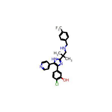 CC(C)(CNCc1ccc(C(F)(F)F)cc1)c1nc(-c2ccc(Cl)c(O)c2)c(-c2ccncc2)[nH]1